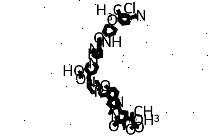 CC[C@@]1(O)C(=O)OCc2c1cc1n(c2=O)Cc2cc3c(CN4CCN(CC5CCN(c6ccc(C(=O)NC7CCC(Oc8ccc(C#N)c(Cl)c8C)CC7)nn6)CC5)CC4)c(O)ccc3nc2-1.O=CO